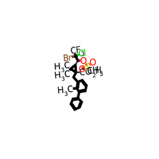 Cc1c(C[C@@]2(C(=O)O)[C@H](C(OS(C)(=O)=O)C(Cl)(Br)C(F)(F)F)C2(C)C)cccc1-c1ccccc1